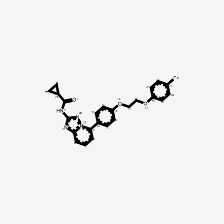 O=C(Nc1nc2cccc(-c3ccc(OCCOc4ccc(F)cc4)cc3)n2n1)C1CC1